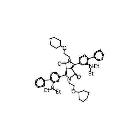 CCN(CC)c1cc(C2=C3C(=O)N(CCOC4CCCCC4)C(c4ccc(-c5ccccc5)c(N(CC)CC)c4)=C3C(=O)N2CCOC2CCCCC2)ccc1-c1ccccc1